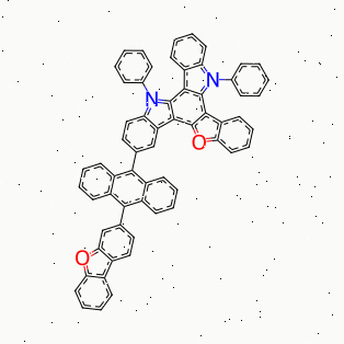 c1ccc(-n2c3ccc(-c4c5ccccc5c(-c5ccc6c(c5)oc5ccccc56)c5ccccc45)cc3c3c4oc5ccccc5c4c4c(c5ccccc5n4-c4ccccc4)c32)cc1